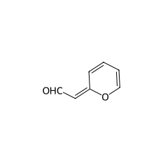 O=C/C=C1\C=CC=CO1